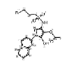 CC(=O)Oc1c(NS(=O)(=O)CCCBr)oc(-c2ccc3ccccc3n2)c1O